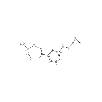 CN1CCCN(c2cncc(OCC3CC3)c2)CC1